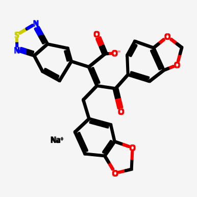 O=C([O-])C(=C(Cc1ccc2c(c1)OCO2)C(=O)c1ccc2c(c1)OCO2)c1ccc2nsnc2c1.[Na+]